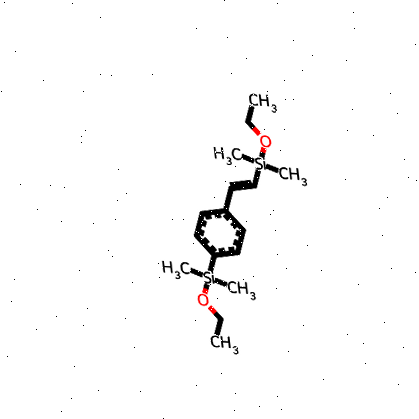 CCO[Si](C)(C)C=Cc1ccc([Si](C)(C)OCC)cc1